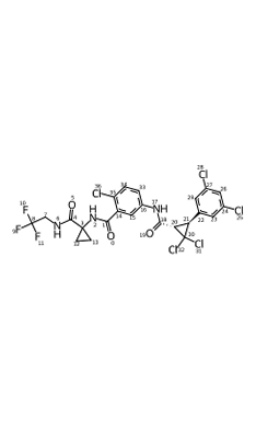 O=C(NC1(C(=O)NCC(F)(F)F)CC1)c1cc(NC(=O)[C@@H]2[C@@H](c3cc(Cl)cc(Cl)c3)C2(Cl)Cl)ccc1Cl